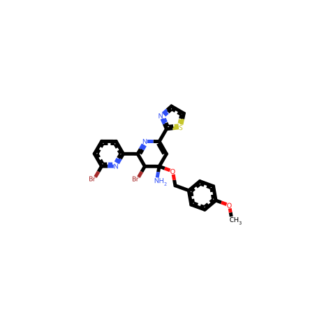 COc1ccc(COC2(N)C=C(c3nccs3)N=C(c3cccc(Br)n3)C2Br)cc1